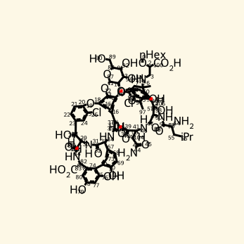 CCCCCCOC(CNC1(C)CC(OC2C(Oc3c4cc5cc3Oc3ccc(cc3Cl)[C@@H](O)[C@@H]3NC(=O)C(NC(=O)[C@@H]5NC(=O)[C@H](CC(N)=O)NC(=O)C(NC(=O)[C@H](N)CC(C)C)[C@H](O)c5ccc(c(Cl)c5)O4)c4ccc(O)c(c4)-c4c(O)cc(O)cc4[C@H](C(=O)O)NC3=O)OC(CO)C(O)C2O)OC(C)C1O)C(=O)O